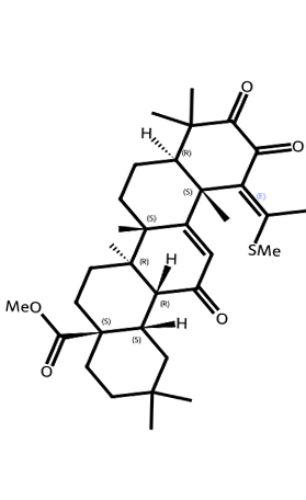 COC(=O)[C@]12CCC(C)(C)C[C@H]1[C@H]1C(=O)C=C3[C@@]4(C)/C(=C(/C)SC)C(=O)C(=O)C(C)(C)[C@@H]4CC[C@@]3(C)[C@]1(C)CC2